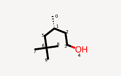 C[C@H](CCO)CC(C)(C)C